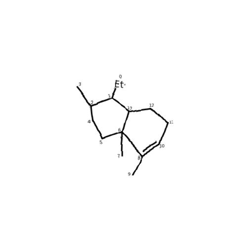 C[CH]C1C(C)CCC2(C)C(C)=CCCC12